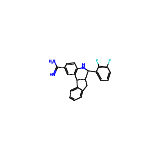 N=C(N)c1ccc2c(c1)C1c3ccccc3CC1C(c1cccc(F)c1F)N2